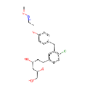 CO/N=C/COc1ccc(Cc2cc(C3CC(O)CC(CO)O3)ccc2Cl)cc1